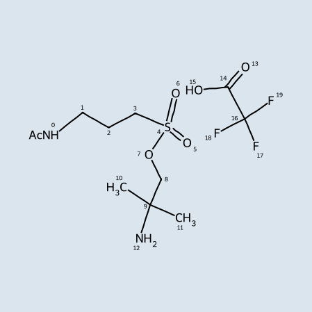 CC(=O)NCCCS(=O)(=O)OCC(C)(C)N.O=C(O)C(F)(F)F